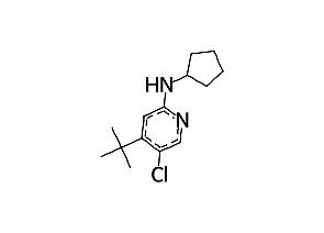 CC(C)(C)c1cc(NC2CCCC2)ncc1Cl